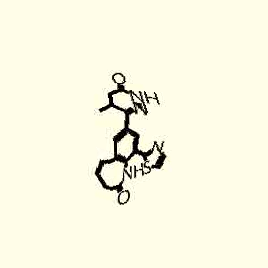 CC1CC(=O)NN=C1c1cc2c(c(-c3nccs3)c1)NC(=O)CCC2